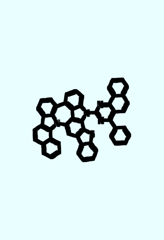 c1ccc(-c2nc(-n3c4cccc5c6cccc7c8ccc9ccccc9c8n(c8cc9c%10ccccc%10sc9c3c8c54)c67)nc3c2ccc2ccccc23)cc1